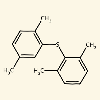 Cc1ccc(C)c(Sc2c(C)cccc2C)c1